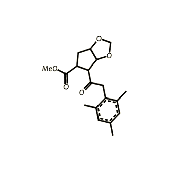 COC(=O)C1CC2OCOC2C1C(=O)Cc1c(C)cc(C)cc1C